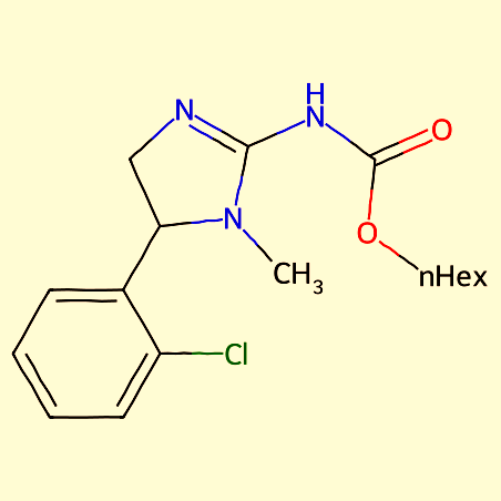 CCCCCCOC(=O)NC1=NCC(c2ccccc2Cl)N1C